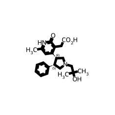 Cc1cc([C@@H]2CN(CC(C)(C)O)C[C@@H]2c2ccccc2)c(CC(=O)O)c(=O)[nH]1